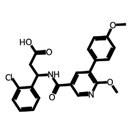 COc1ccc(-c2cc(C(=O)NC(CC(=O)O)c3ccccc3Cl)cnc2OC)cc1